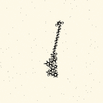 CCC(C)C(C(CC(=O)N1CCC[C@H]1C(OC)C(C)C(=O)NC(Cc1ccccc1)C(=O)OC)OC)N(C)C(=O)C(NC(=O)C(C)(C)N(C)C(=O)CCOCCOCCOCCOCCOCCOCCN1C(=O)C=CC1=O)C(C)C